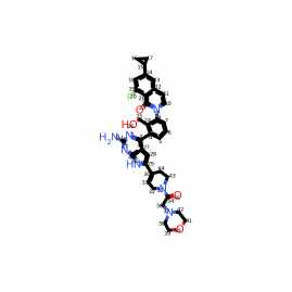 Nc1nc(-c2cccc(-n3ccc4cc(C5CC5)cc(F)c4c3=O)c2CO)c2cc(C3=CCN(C(=O)CN4CCOCC4)CC3)[nH]c2n1